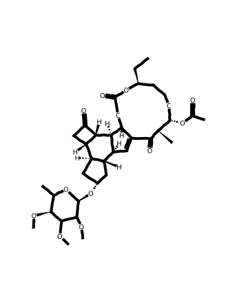 CC[C@H]1CCC[C@H](OC(C)=O)[C@@H](C)C(=O)C2=C[C@H]3[C@@H]4C[C@H](O[C@@H]5OC(C)[C@H](OC)C(OC)C5OC)C[C@H]4[C@@H]4CC(=O)[C@@H]4[C@H]3[C@@H]2CC(=O)O1